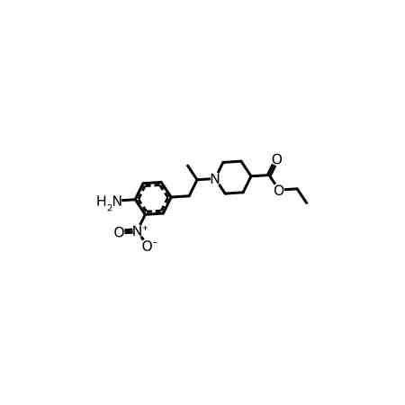 CCOC(=O)C1CCN(C(C)Cc2ccc(N)c([N+](=O)[O-])c2)CC1